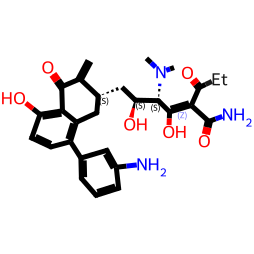 C=C1C(=O)c2c(O)ccc(-c3cccc(N)c3)c2C[C@H]1C[C@H](O)[C@@H](/C(O)=C(/C(N)=O)C(=O)CC)N(C)C